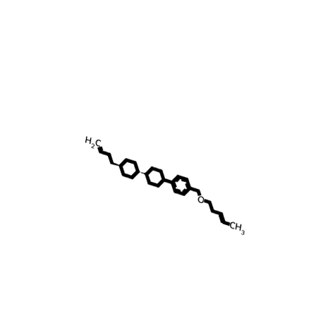 C=CCC[C@H]1CC[C@H](C2CCC(c3ccc(COCC/C=C/C)cc3)CC2)CC1